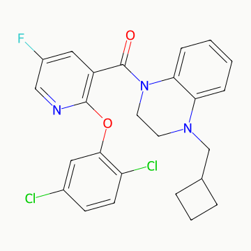 O=C(c1cc(F)cnc1Oc1cc(Cl)ccc1Cl)N1CCN(CC2CCC2)c2ccccc21